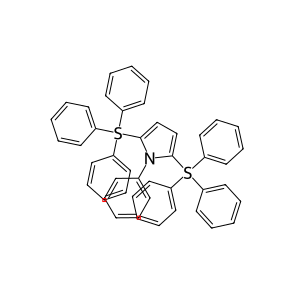 c1ccc(-n2c(S(c3ccccc3)(c3ccccc3)c3ccccc3)ccc2S(c2ccccc2)(c2ccccc2)c2ccccc2)cc1